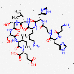 CC[C@H](C)[C@H](NC(=O)[C@H](CO)NC(=O)[C@H](CO)NC(=O)[C@H](CC(C)C)NC(=O)[C@H](CCCCN)NC(=O)[C@H](Cc1c[nH]cn1)NC(=O)CCNC(=O)[C@H](Cc1c[nH]cn1)NC(=O)CCN)C(=O)N[C@@H](CCC(=O)O)C(=O)O